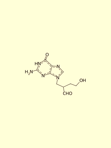 Nc1nc2c(ncn2CC(C=O)CCO)c(=O)[nH]1